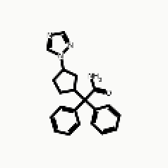 NC(=O)C(c1ccccc1)(c1ccccc1)C1CCC(n2cncn2)C1